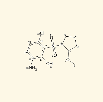 COC1CCCC1S(=O)(=O)c1c(Cl)ccc(N)c1O